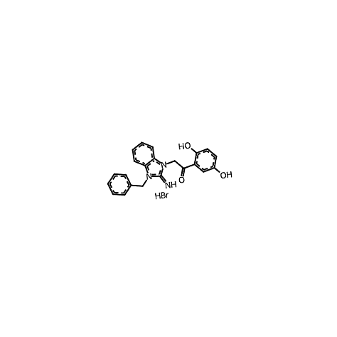 Br.N=c1n(CC(=O)c2cc(O)ccc2O)c2ccccc2n1Cc1ccccc1